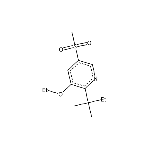 CCOc1cc(S(C)(=O)=O)cnc1C(C)(C)CC